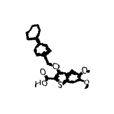 COc1cc2sc(C(=O)O)c(OCc3ccc(C4CCCCC4)cc3)c2cc1OC